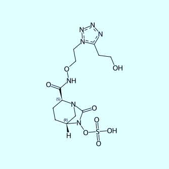 O=C(NOCCn1nnnc1CCO)[C@@H]1CC[C@@H]2CN1C(=O)N2OS(=O)(=O)O